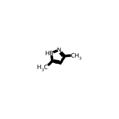 CC1=CC(C)=NB1